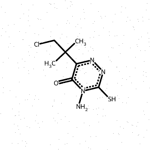 CC(C)(CCl)c1nnc(S)n(N)c1=O